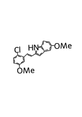 COc1ccc(Cl)c(C=Cc2cc3cc(OC)ccc3[nH]2)c1